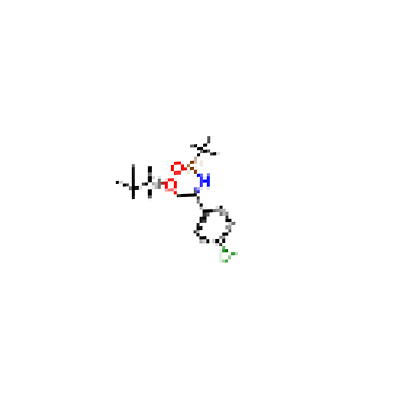 CC(C)(C)[S@+]([O-])/N=C(\CO[Si](C)(C)C(C)(C)C)c1ccc(Br)cc1